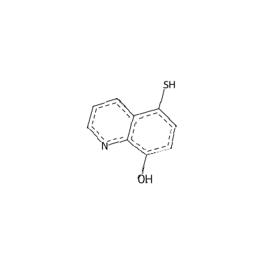 Oc1ccc(S)c2cccnc12